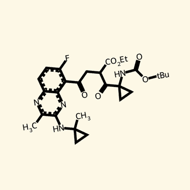 CCOC(=O)C(CC(=O)c1c(F)ccc2nc(C)c(NC3(C)CC3)nc12)C(=O)C1(NC(=O)OC(C)(C)C)CC1